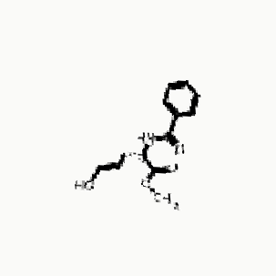 COC(=O)[C@H](CC=CO)NC(=O)c1ccccc1